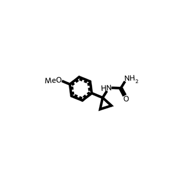 COc1ccc(C2(NC(N)=O)CC2)cc1